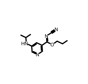 CCCO/C(=N\C#N)c1cncc(NC(C)C)c1